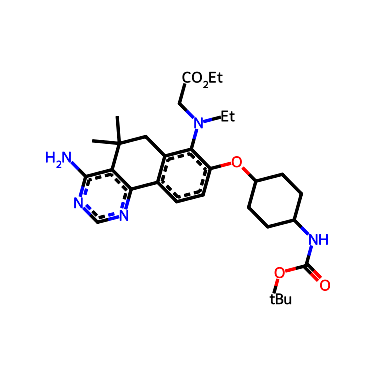 CCOC(=O)CN(CC)c1c(OC2CCC(NC(=O)OC(C)(C)C)CC2)ccc2c1CC(C)(C)c1c(N)ncnc1-2